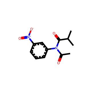 CC(=O)N(C(=O)C(C)C)c1cccc([N+](=O)[O-])c1